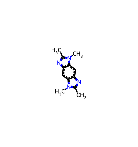 Cc1nc2cc3c(cc2n1C)nc(C)n3C